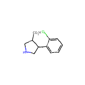 O=C(O)C1CNCC1c1ccccc1Cl